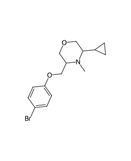 CN1C(COc2ccc(Br)cc2)COCC1C1CC1